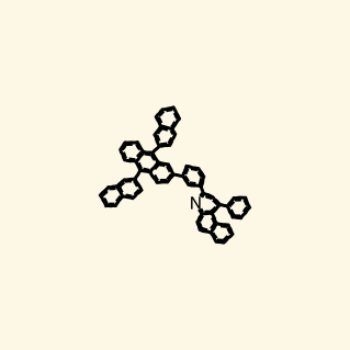 c1ccc(-c2cc(-c3cccc(-c4ccc5c(-c6ccc7ccccc7c6)c6ccccc6c(-c6ccc7ccccc7c6)c5c4)c3)nc3ccc4ccccc4c23)cc1